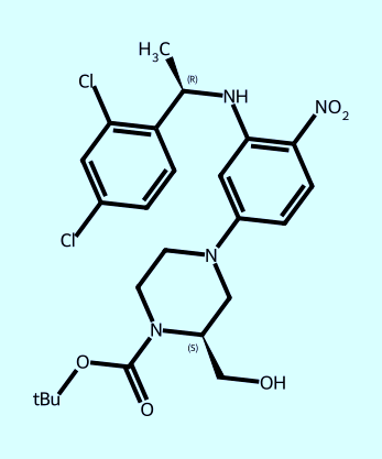 C[C@@H](Nc1cc(N2CCN(C(=O)OC(C)(C)C)[C@H](CO)C2)ccc1[N+](=O)[O-])c1ccc(Cl)cc1Cl